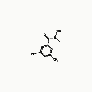 CC(C)c1cc(C(=O)N(C)C(C)(C)C)cc(C(F)(F)F)c1